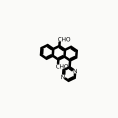 O=Cc1c2ccccc2c(C=O)c2c(-c3cnccn3)cccc12